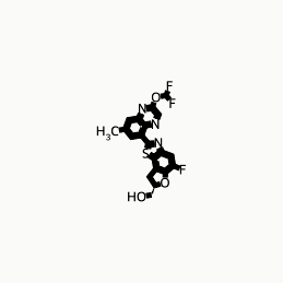 Cc1cc(-c2nc3cc(F)c4c(c3s2)C[C@@H](CO)O4)c2ncc(OC(F)F)nc2c1